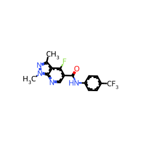 Cc1nn(C)c2ncc(C(=O)Nc3ccc(C(F)(F)F)cc3)c(F)c12